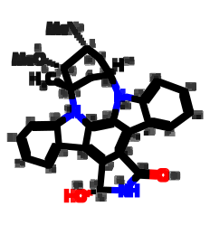 CN[C@@H]1C[C@@H]2C[C@@](C)([C@@H]1OC)n1c3ccccc3c3c4c(c5c6ccccc6n2c5c31)C(=O)N[C@@H]4O